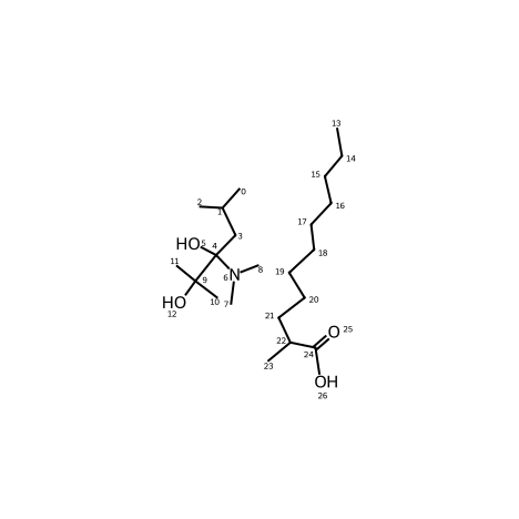 CC(C)CC(O)(N(C)C)C(C)(C)O.CCCCCCCCCC(C)C(=O)O